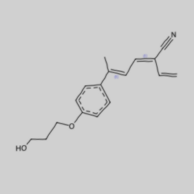 C=C/C(C#N)=C\C=C(/C)c1ccc(OCCCO)cc1